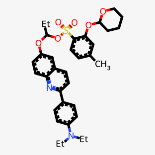 CCC(Oc1ccc2nc(-c3ccc(N(CC)CC)cc3)ccc2c1)OS(=O)(=O)c1ccc(C)cc1OC1CCCCO1